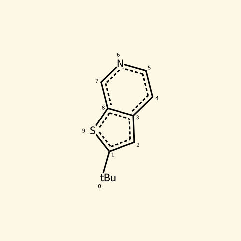 CC(C)(C)c1cc2ccncc2s1